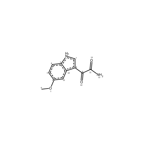 COc1ccc2[nH]cc(C(=O)C(N)=O)c2c1